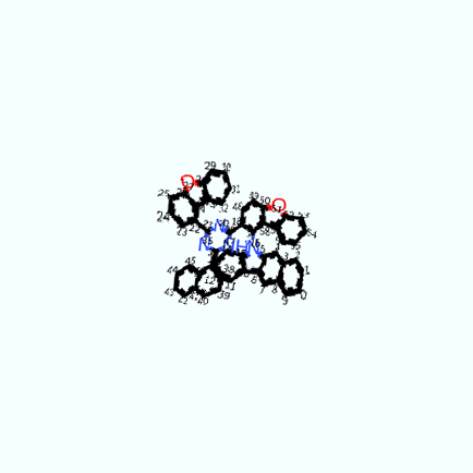 c1ccc2cc3c(cc2c1)c1ccccc1n3-c1c(C2=NC(c3cccc4oc5ccccc5c34)=NC(c3cccc4ccccc34)N2)ccc2oc3ccccc3c12